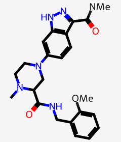 CNC(=O)c1n[nH]c2cc(N3CCN(C)C(C(=O)NCc4ccccc4OC)C3)ccc12